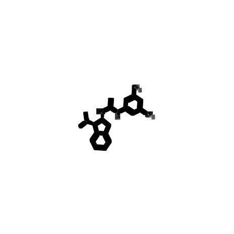 C=C(Nc1cc(C(F)(F)F)cc(C(F)(F)F)c1)N[C@@H]1Cc2ccccc2[C@H]1N(C)C